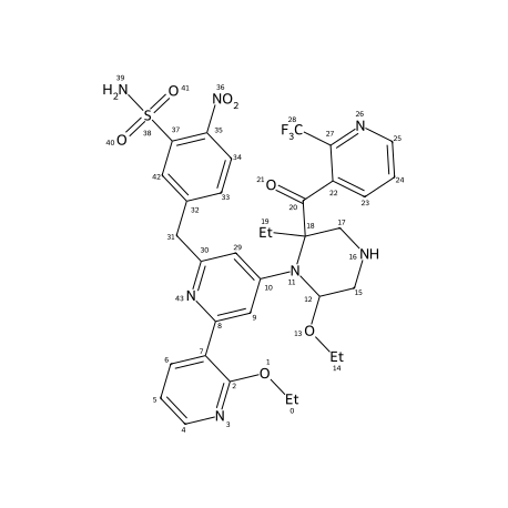 CCOc1ncccc1-c1cc(N2C(OCC)CNCC2(CC)C(=O)c2cccnc2C(F)(F)F)cc(Cc2ccc([N+](=O)[O-])c(S(N)(=O)=O)c2)n1